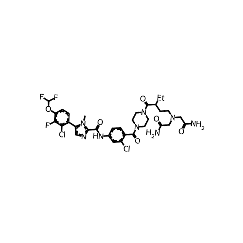 CCC(CCN(CC(N)=O)CC(N)=O)C(=O)N1CCN(C(=O)c2ccc(NC(=O)c3ncc(-c4ccc(OC(F)F)c(F)c4Cl)n3C)cc2Cl)CC1